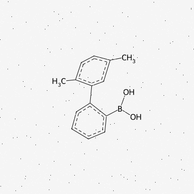 Cc1ccc(C)c(-c2ccccc2B(O)O)c1